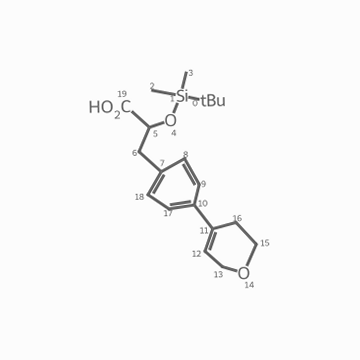 CC(C)(C)[Si](C)(C)OC(Cc1ccc(C2=CCOCC2)cc1)C(=O)O